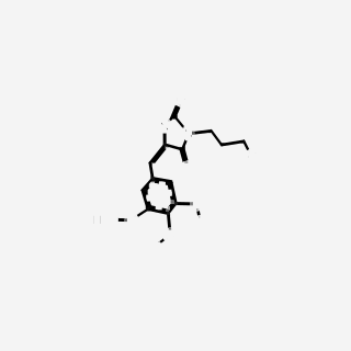 COc1cc(C=C2NC(=O)N(CCCCl)C2=O)cc(OC)c1OC